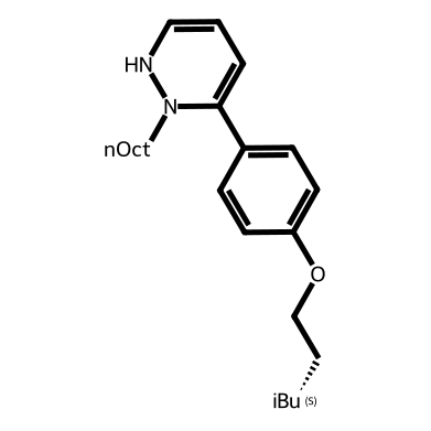 CCCCCCCCN1NC=CC=C1c1ccc(OCC[C@@H](C)CC)cc1